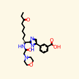 CCC(=O)CCCCC[C@H](NC(=O)CN1CCOCC1)c1ncc(-c2cccc(C(=O)O)c2)[nH]1